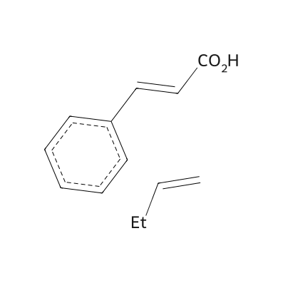 C=CCC.O=C(O)C=Cc1ccccc1